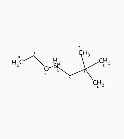 CCO[SiH2]CC(C)(C)C